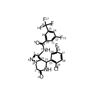 O=C1Cn2ncc(NC(=O)c3cc(F)cc(C(F)(F)F)c3)c2C(c2cc(F)ccc2Cl)N1